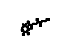 CC1(C)COC(=O)C(=O)O[C@H]1C(=O)NCCC(=O)NCCS